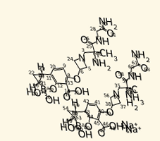 C[C@@](N)(CN1CC(Oc2ccc3c(c2C(=O)O)O[B-](O)(O)[C@@H]2C[C@H]32)C1)C(=O)NCC(N)=O.C[C@@](N)(CN1CC(Oc2ccc3c(c2C(=O)O)O[B-](O)(O)[C@@H]2C[C@H]32)C1)C(=O)NCC(N)=O.[Na+].[Na+]